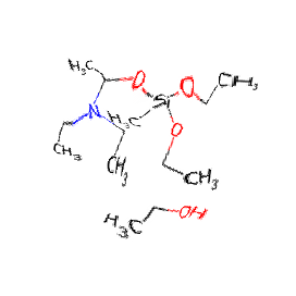 CCO.CCO[Si](C)(OCC)OC(C)N(CC)CC